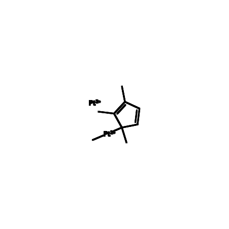 [CH3][Pt+2][C]1(C)C=CC(C)=C1C.[Pt+2]